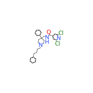 O=C(NCC1(c2ccccc2)CCN(CCCCc2ccccc2)CC1)c1cc(Cl)nc(Cl)c1